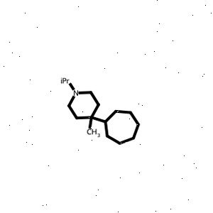 CC(C)N1CCC(C)(C2CCCCCC2)CC1